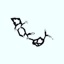 CC(c1ccccc1C(F)(F)F)N1CCOC(C(=O)NC2C3CC4CC2CC(C(N)=O)(C4)C3)C1